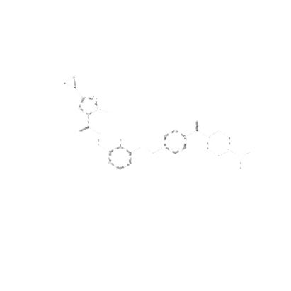 Cn1nc(C2CC2)cc1C(=O)NCc1cccc(OCc2ccc(C(=O)N3CCN([S+](C)[O-])CC3)cc2)c1Cl